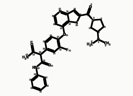 CN(C)C1CCN(C(=O)c2cc3nccc(Oc4ccc(C(C(N)=O)C(=O)Nc5ccccc5)cc4F)c3s2)C1